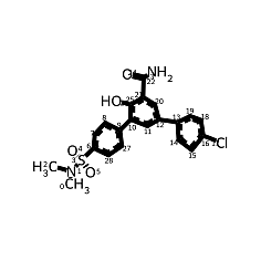 CN(C)S(=O)(=O)c1ccc(-c2cc(-c3ccc(Cl)cc3)cc(C(N)=O)c2O)cc1